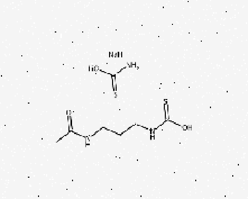 CC(=O)NCCCNC(O)=S.NC(O)=S.[NaH]